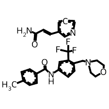 Cc1ccc(C(=O)Nc2ccc(CN3CCOCC3)c(C(F)(F)F)c2)cc1.NC(=O)C=Cc1cccnc1